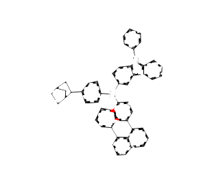 c1ccc(-c2cccc3cccc(-c4ccc(N(c5ccc(C6CC7CCC6C7)cc5)c5ccc6c(c5)c5ccccc5n6-c5ccccc5)cc4)c23)cc1